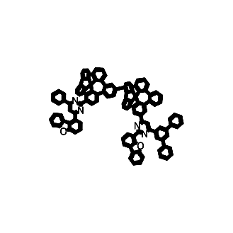 c1ccc(-c2cc(-c3ccccc3)cc(-c3cc(-c4ccc5c(c4)-c4ccccc4-c4ccccc4C54c5ccccc5-c5c(-c6ccc7c(c6)-c6ccccc6C6(c8cc(-c9nc(-c%10ccccc%10)cc(-c%10cccc%11oc%12ccccc%12c%10%11)n9)ccc8-7)c7ccccc7-c7ccccc76)cccc54)nc(-c4cccc5c4oc4ccccc45)n3)c2)cc1